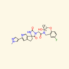 Cn1cc(-c2cc3c(cn2)C2(CC3)NC(=O)N(CC(=O)N3Cc4cc(F)ccc4OC[C@]3(O)C(F)(F)F)C2=O)cn1